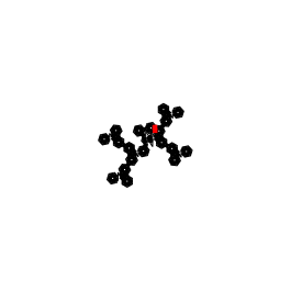 c1ccc(-c2ccccc2-c2cc(-c3cccc(-n4c5ccc(-c6ccc7c(c6)c6ccccc6n7-c6ccccc6)cc5c5cc(-c6ccc7c(c6)c6ccccc6n7-c6ccccc6)ccc54)c3)nc(-n3c4ccc(-c5ccc6c(c5)c5ccccc5n6-c5ccccc5)cc4c4cc(-c5ccc6c(c5)c5ccccc5n6-c5ccccc5)ccc43)n2)cc1